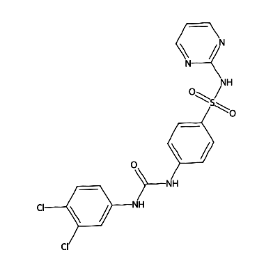 O=C(Nc1ccc(S(=O)(=O)Nc2ncccn2)cc1)Nc1ccc(Cl)c(Cl)c1